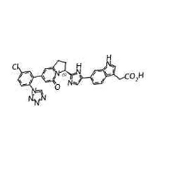 O=C(O)Cc1c[nH]c2cc(-c3cnc([C@@H]4CCc5cc(-c6cc(Cl)ccc6-n6cnnn6)cc(=O)n54)[nH]3)ccc12